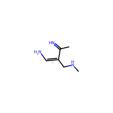 CNC/C(=C/N)C(C)=N